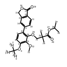 [2H]C([2H])([2H])Oc1ccc(-c2ccc3c(c2)COC3=O)c(OCC(C)(C)C(=O)OC(C)C)c1OC